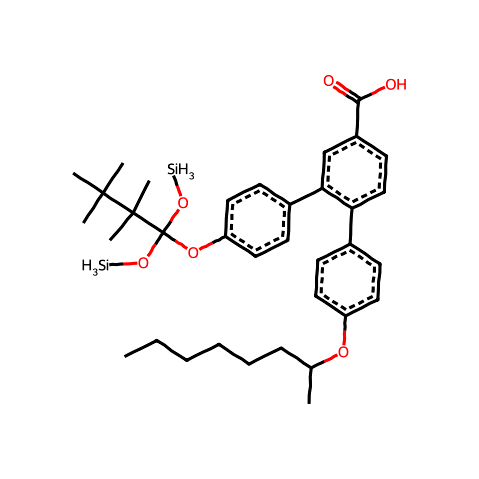 CCCCCCC(C)Oc1ccc(-c2ccc(C(=O)O)cc2-c2ccc(OC(O[SiH3])(O[SiH3])C(C)(C)C(C)(C)C)cc2)cc1